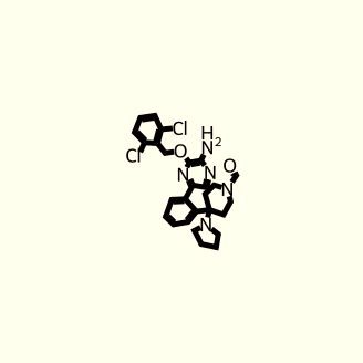 Nc1ncc(-c2ccccc2C2(N3CCCC3)CCN(C=O)CC2)nc1OCc1c(Cl)cccc1Cl